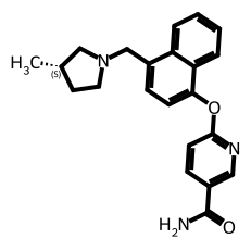 C[C@H]1CCN(Cc2ccc(Oc3ccc(C(N)=O)cn3)c3ccccc23)C1